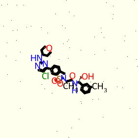 Cc1cccc([C@@H](CO)NC(=O)[C@@H](C)N2Cc3ccc(-c4nc(NC5CCOCC5)ncc4Cl)cc3S2(=O)=O)c1